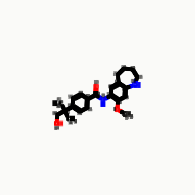 COc1cc2c(cc1NC(=O)c1ccc(C(C)(C)CO)cc1)CCCCN2